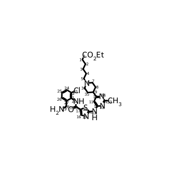 CCOC(=O)CCCCCN1CCC(c2cc(Nc3ncc(C(=O)Nc4c(Cl)cccc4CN)s3)nc(C)n2)CC1